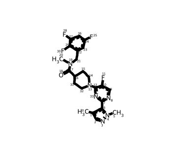 Cc1cnn(C)c1-c1ncc(F)c(N2CCC(C(=O)N(C)Cc3cc(F)cc(F)c3F)CC2)n1